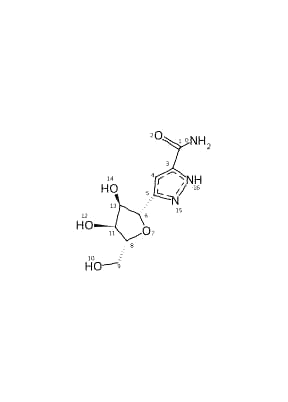 NC(=O)c1cc([C@@H]2O[C@H](CO)[C@@H](O)[C@H]2O)n[nH]1